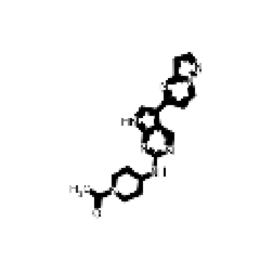 CC(=O)N1CCC(Nc2ncc3c(-c4ccn5nccc5n4)c[nH]c3n2)CC1